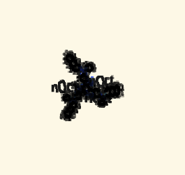 CCCCCCCCn1c2cc(N(c3ccccc3)c3ccc4cc5ccccc5cc4c3)ccc2c2c1c1c3ccc(N(c4ccccc4)c4ccc5cc6ccccc6cc5c4)cc3n(CCCCCCCC)c1c1c3ccc(N(c4ccccc4)c4ccc5cc6ccccc6cc5c4)cc3n(CCCCCCCC)c21